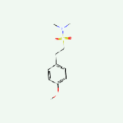 COc1ccc(CCS(=O)(=O)N(C)C)cc1